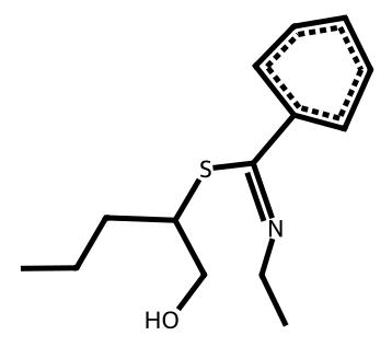 CCCC(CO)S/C(=N\CC)c1ccccc1